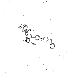 CC(C)(O)CS(=N)(=O)c1cc(-c2ccc(N3CCC(Oc4ccccn4)CC3)nc2)c2c(C#N)cnn2c1